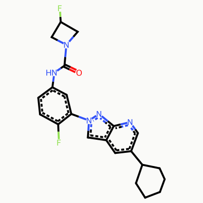 O=C(Nc1ccc(F)c(-n2cc3cc(C4CCCCC4)cnc3n2)c1)N1CC(F)C1